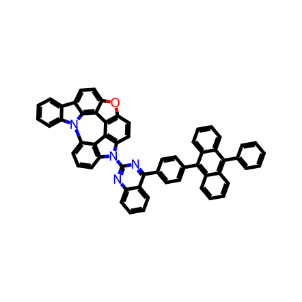 c1ccc(-c2c3ccccc3c(-c3ccc(-c4nc(-n5c6ccc7oc8ccc9c%10ccccc%10n%10c%11cccc5c%11c6c7c8c9%10)nc5ccccc45)cc3)c3ccccc23)cc1